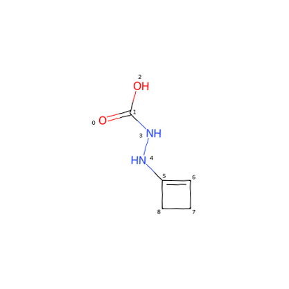 O=C(O)NNC1=CCC1